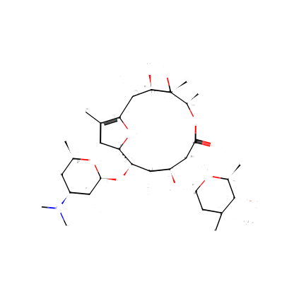 CC[C@H]1OC(=O)[C@H](C)[C@@H](O[C@H]2C[C@@](C)(OC)[C@@H](O)[C@H](C)O2)[C@H](C)[C@@H](O[C@@H]2O[C@H](C)C[C@H](N(C)C(C)C)[C@H]2O)[C@@]2(C)CC(C)=C(O2)[C@H](C)[C@@H](O)[C@]1(C)O